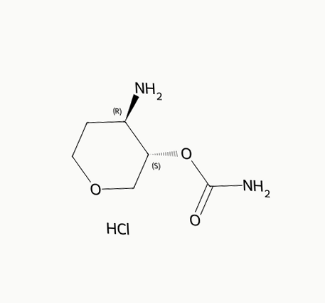 Cl.NC(=O)O[C@@H]1COCC[C@H]1N